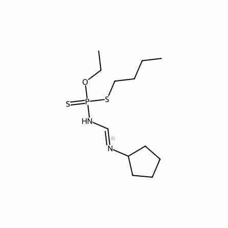 CCCCSP(=S)(N/C=N/C1CCCC1)OCC